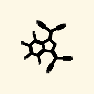 N#CC(C#N)=C1CC(=C(C#N)C#N)c2c(F)c(F)c(F)c(F)c21